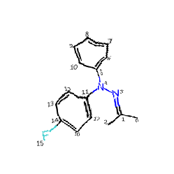 CC(C)=NN(c1ccccc1)c1ccc(F)cc1